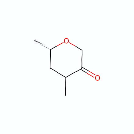 CC1C[C@H](C)OCC1=O